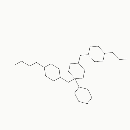 CCCCC1CCC(CC2(C3CCCCC3)CCC(CC3CCC(CCC)CC3)CC2)CC1